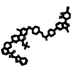 Cc1cc(OC2CCC(CC[C@H](C)N3CCN(c4ccc5c(C6CCC(=O)NC6=O)nn(C)c5c4)CC3)CC2)ccc1-c1ccc(N2CCc3cccc(C(=O)Nc4nc5ccccc5s4)c3C2)nc1C(=O)OC(C)(C)C